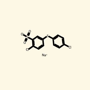 O=S(=O)([O-])c1cc(Sc2ccc(Cl)cc2)ccc1Cl.[Na+]